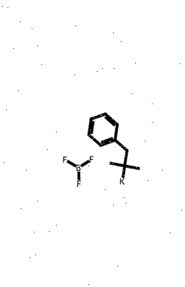 C[C](C)([K])Cc1ccccc1.FB(F)F